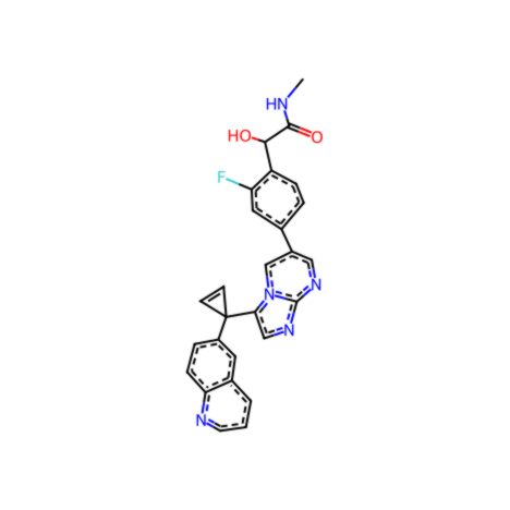 CNC(=O)C(O)c1ccc(-c2cnc3ncc(C4(c5ccc6ncccc6c5)C=C4)n3c2)cc1F